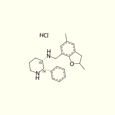 Cc1cc(CN[C@H]2CCCN[C@H]2c2ccccc2)c2c(c1)CC(C)O2.Cl